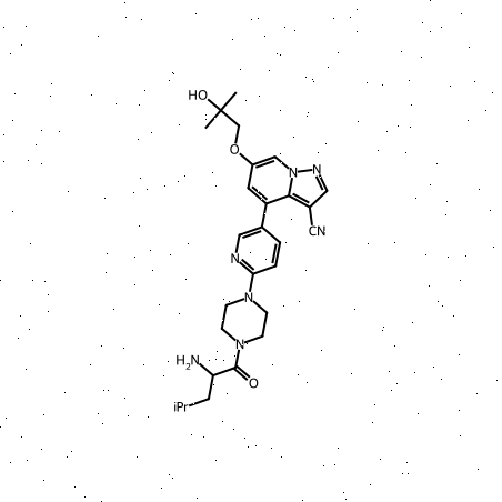 CC(C)CC(N)C(=O)N1CCN(c2ccc(-c3cc(OCC(C)(C)O)cn4ncc(C#N)c34)cn2)CC1